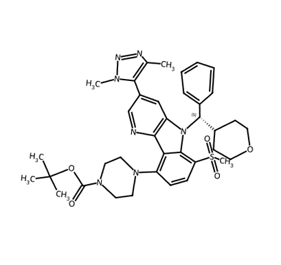 Cc1nnn(C)c1-c1cnc2c3c(N4CCN(C(=O)OC(C)(C)C)CC4)ccc(S(C)(=O)=O)c3n([C@H](c3ccccc3)C3CCOCC3)c2c1